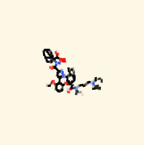 COc1cccc(OC)c1-c1cc(C(=O)NC2(C(=O)O)C3CC4CC(C3)CC2C4)nn1-c1cc(C(=O)N(C)CCCN(C)C)ccc1C